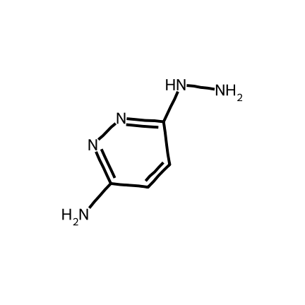 NNc1ccc(N)nn1